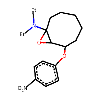 CCN(CC)C12CCCCCC(Oc3ccc([N+](=O)[O-])cc3)C1O2